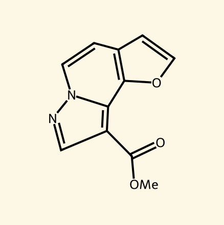 COC(=O)c1cnn2ccc3ccoc3c12